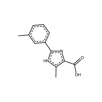 Cc1cccc(-c2nc(C(=O)O)c(C)[nH]2)c1